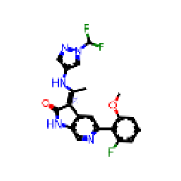 COc1cccc(F)c1-c1cc2c(cn1)NC(=O)/C2=C(/C)Nc1cnn(C(F)F)c1